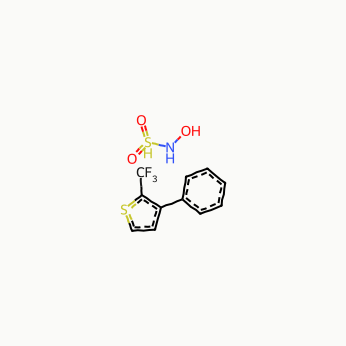 FC(F)(F)c1sccc1-c1ccccc1.O=[SH](=O)NO